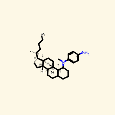 CC(C)CCC[C@@H](C)[C@H]1CC[C@H]2[C@@H]3CCC4CCCC(N(C)c5ccc(N)cc5)[C@]4(C)[C@H]3CC[C@]12C